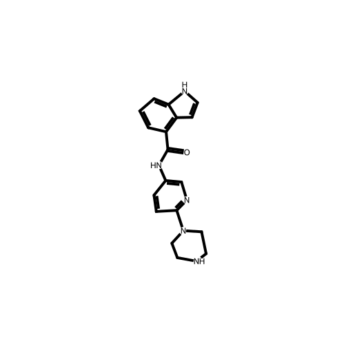 O=C(Nc1ccc(N2CCNCC2)nc1)c1cccc2[nH]ccc12